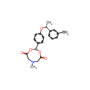 Bc1cccc([C@H](C)Oc2ccc(B3OC(=O)CN(C)CC(=O)O3)cc2)c1